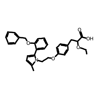 CCOC(Cc1ccc(OCCn2c(C)ccc2-c2ccccc2OCc2ccccc2)cc1)C(=O)O